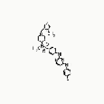 CN(C1CCN(Cc2cncn2C)CC1)S(=O)(=O)c1ccc(Nc2nccc(Nc3ccc(F)cc3)n2)cc1